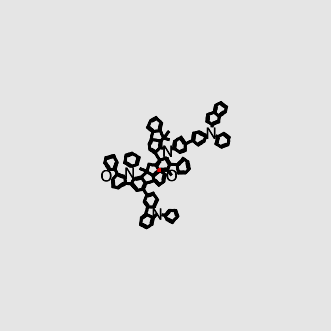 CC1(C)c2ccccc2-c2ccc3c4c(CC5(C)c6ccccc6-c6c(-c7ccc8c(c7)c7ccccc7n8-c7ccccc7)cc7c8ccc9oc%10ccccc%10c9c8n(-c8ccccc8)c7c65)cc5oc6ccccc6c5c4n(-c4ccc(-c5ccc(N(c6ccccc6)c6ccc7ccccc7c6)cc5)cc4)c3c21